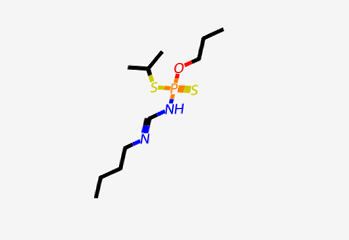 CCCCN=CNP(=S)(OCCC)SC(C)C